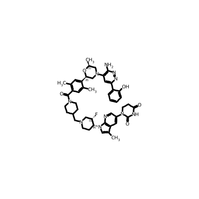 Cc1cc([C@@H]2CN(c3cc(-c4ccccc4O)nnc3N)C[C@H](C)O2)c(C)cc1C(=O)N1CCC(CN2CC[C@@H](n3cc(C)c4cc(N5CCC(=O)NC5=O)cnc43)[C@@H](F)C2)CC1